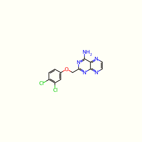 Nc1nc(COc2ccc(Cl)c(Cl)c2)nc2nccnc12